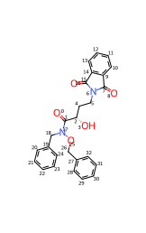 O=C([C@@H](O)CCN1C(=O)c2ccccc2C1=O)N(Cc1ccccc1)OCc1ccccc1